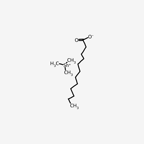 CCCCCCCCCCCC(=O)[O-].[CH3][Sn+]([CH3])[CH3]